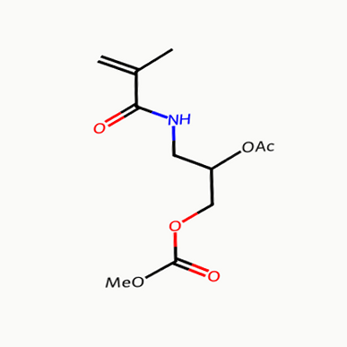 C=C(C)C(=O)NCC(COC(=O)OC)OC(C)=O